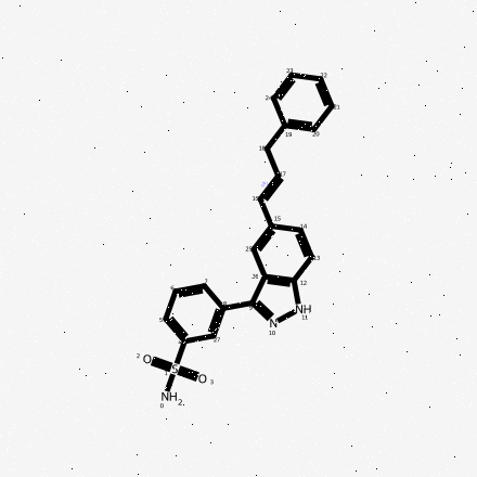 NS(=O)(=O)c1cccc(-c2n[nH]c3ccc(/C=C/Cc4ccccc4)cc23)c1